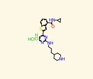 Cl.Cl.O=C(NC1CC1)c1cccc2sc(-c3ccnc(NCCCC4CCNCC4)n3)cc12